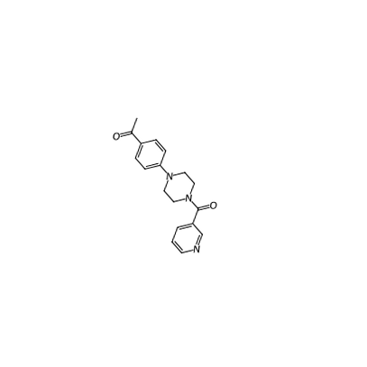 CC(=O)c1ccc(N2CCN(C(=O)c3cccnc3)CC2)cc1